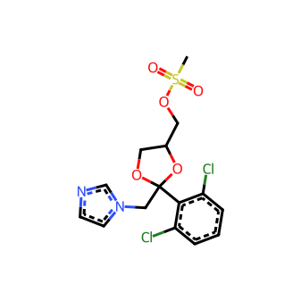 CS(=O)(=O)OCC1COC(Cn2ccnc2)(c2c(Cl)cccc2Cl)O1